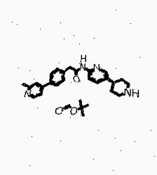 CC(C)(C)OC=O.Cc1cc(-c2ccc(CC(=O)Nc3ccc(C4CCNCC4)cn3)cc2)ccn1